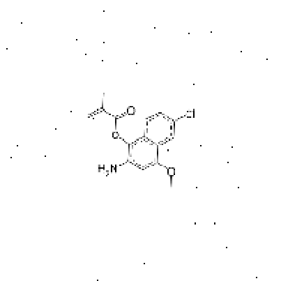 C=C(C)C(=O)Oc1c(N)cc(OC)c2cc(Cl)ccc12